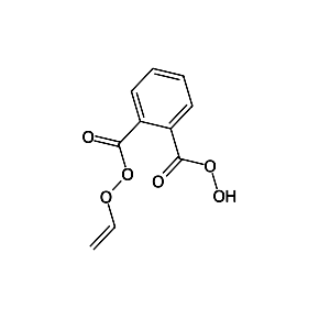 C=COOC(=O)c1ccccc1C(=O)OO